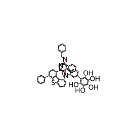 C=N/C(=N\C(=N/Cc1ccccc1)c1ccccc1)c1ccc(-c2ccccc2)c2sc3cccc(-n4c5ccccc5c5ccc(-c6c(O)c(O)c(O)c(O)c6O)cc54)c3c12